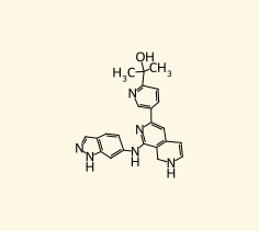 CC(C)(O)c1ccc(-c2cc3c(c(Nc4ccc5cn[nH]c5c4)n2)CNC=C3)cn1